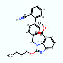 CCCCOc1nc2cccc(C(=O)OC)c2n1Cc1ccc(-c2ccccc2C#N)cc1